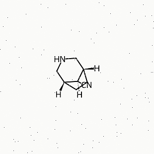 N#C[C@H]1[C@@H]2CC[C@H]1CNC2